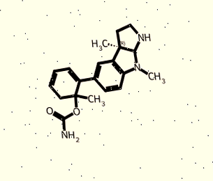 CN1c2ccc(C3=CC=CCC3(C)OC(N)=O)cc2[C@@]2(C)CCNC12